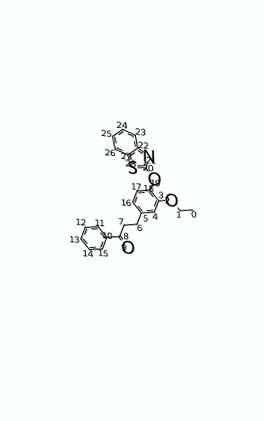 CCOc1cc(CCC(=O)c2ccccc2)ccc1Oc1nc2ccccc2s1